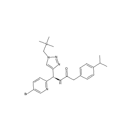 CC(C)c1ccc(CC(=O)N[C@@H](c2ccc(Br)cn2)c2cn(C[Si](C)(C)C)nn2)cc1